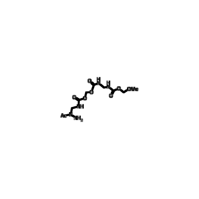 COCOC(=O)NCNC(=O)OCOC(=O)NCN(N)C(C)=O